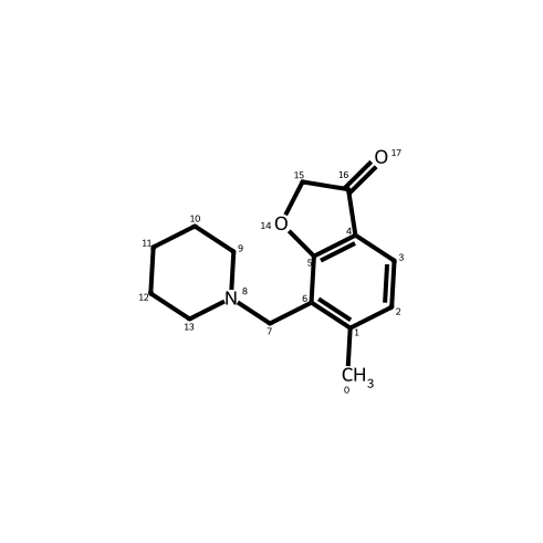 Cc1ccc2c(c1CN1CCCCC1)OCC2=O